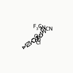 N#Cc1nc(N2CC[C@H](S(=O)(=O)c3ccc(N4CCN(C5CC5)CC4)cc3Cl)C2)cc(C(F)(F)F)n1